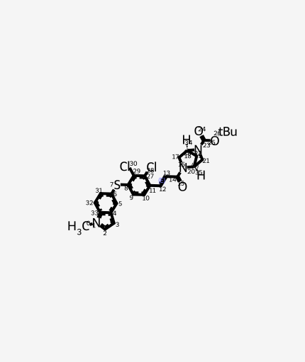 Cn1ccc2cc(Sc3ccc(/C=C/C(=O)N4C[C@@H]5C[C@H]4CN5C(=O)OC(C)(C)C)c(Cl)c3Cl)ccc21